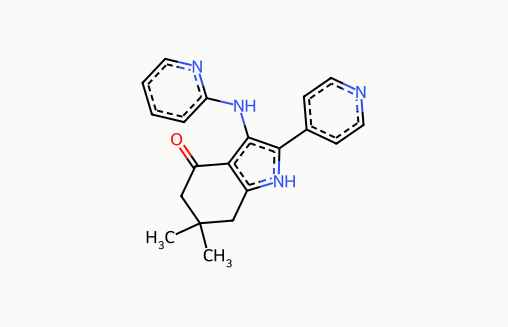 CC1(C)CC(=O)c2c([nH]c(-c3ccncc3)c2Nc2ccccn2)C1